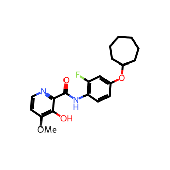 COc1ccnc(C(=O)Nc2ccc(OC3CCCCCC3)cc2F)c1O